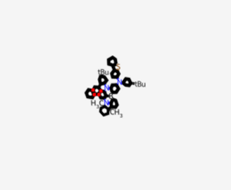 CC(C)(C)c1ccc(N(c2ccc3c(c2)N(c2ccc(C(C)(C)C)cc2-c2ccccc2)c2cc(-c4ccccc4)cc4c2B3c2cccc3c2N4C2(C)CCCCC32C)c2ccc3c(c2)sc2ccccc23)cc1